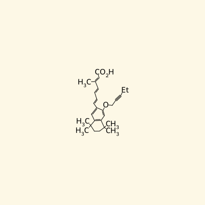 CCC#CCOc1cc2c(cc1/C=C/C=C/C(C)=C/C(=O)O)C(C)(C)CCC2(C)C